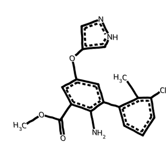 COC(=O)c1cc(Oc2cn[nH]c2)cc(-c2cccc(Cl)c2C)c1N